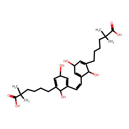 CC(C)(CCCCC1=CC(O)C=C(/C=C\C2=CC(O)C=C(CCCCC(C)(C)C(=O)O)C2O)C1O)C(=O)O